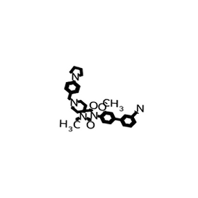 CCN1C(=O)N(c2ccc(-c3cccc(C#N)c3)cc2OC)C(=O)C12CCN(Cc1ccc(N3CCCC3)cc1)CC2